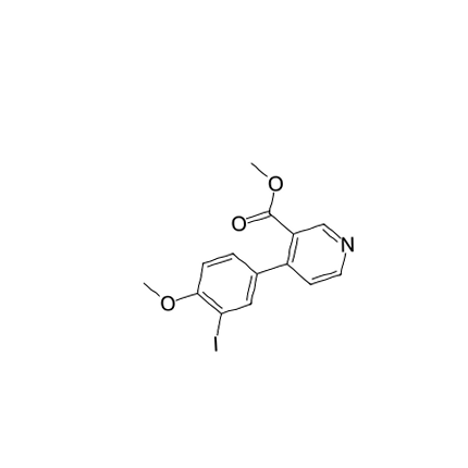 COC(=O)c1cnccc1-c1ccc(OC)c(I)c1